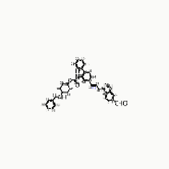 O=Cc1ccc2c(c1)nnn2C/C=C/c1ccc(-c2ccccc2)c(NC(=O)OC2CCC(NCc3ccccc3)CC2)c1